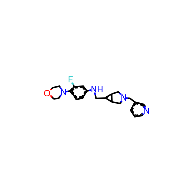 Fc1cc(NCC2C3CN(Cc4cccnc4)CC23)ccc1N1CCOCC1